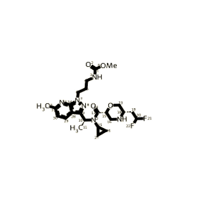 COC(=O)NCCCn1nc([C@@H](C)N(C(=O)[C@H]2CN[C@@H](CC(F)F)CO2)C2CC2)c2ccc(C)nc21